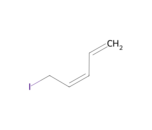 C=C/C=C\CI